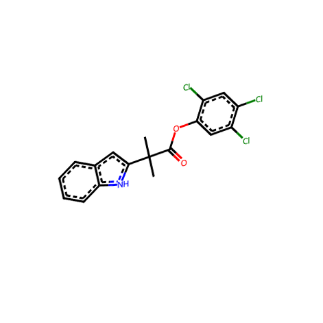 CC(C)(C(=O)Oc1cc(Cl)c(Cl)cc1Cl)c1cc2ccccc2[nH]1